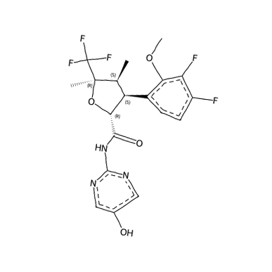 COc1c([C@H]2[C@H](C(=O)Nc3ncc(O)cn3)O[C@@](C)(C(F)(F)F)[C@H]2C)ccc(F)c1F